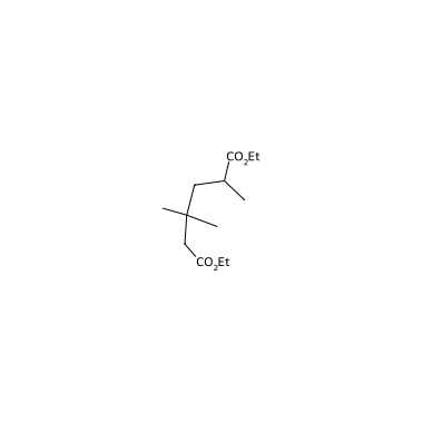 CCOC(=O)CC(C)(C)CC(C)C(=O)OCC